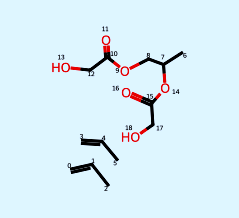 C=CC.C=CC.CC(COC(=O)CO)OC(=O)CO